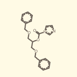 O=C(OC(COCc1ccccc1)COCc1ccccc1)n1ccnc1